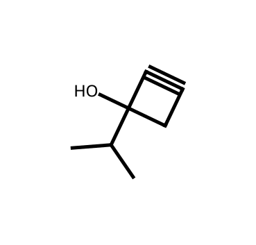 CC(C)C1(O)C#CC1